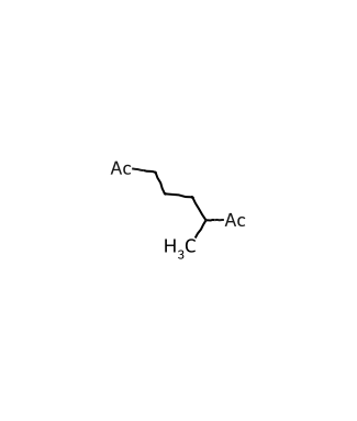 CC(=O)CCCC(C)C(C)=O